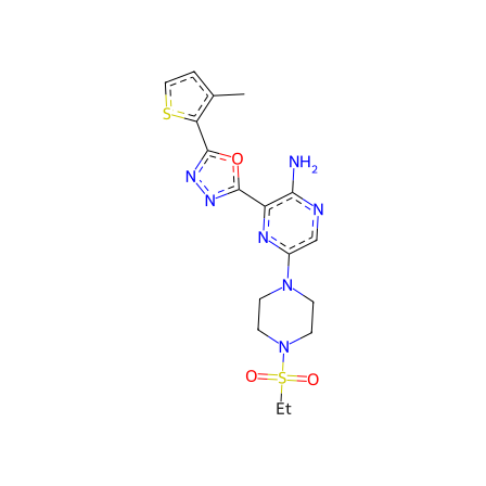 CCS(=O)(=O)N1CCN(c2cnc(N)c(-c3nnc(-c4sccc4C)o3)n2)CC1